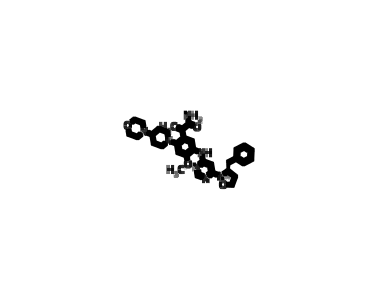 C=C(C(N)=O)c1cc(Nc2cc(N3OCC[C@@H]3Cc3ccccc3)ncn2)c(OC)cc1N1CCC(N2CCOCC2)CC1